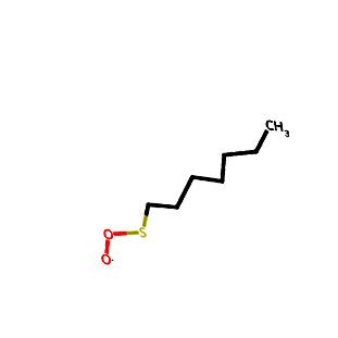 CCCCCCCSO[O]